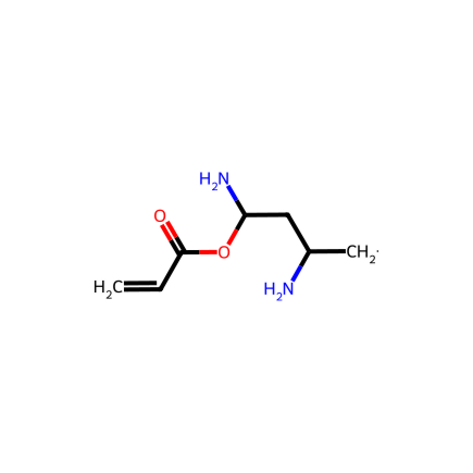 [CH2]C(N)CC(N)OC(=O)C=C